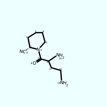 N#C[C@@H]1CCCCN1C(=O)C(N)CCN